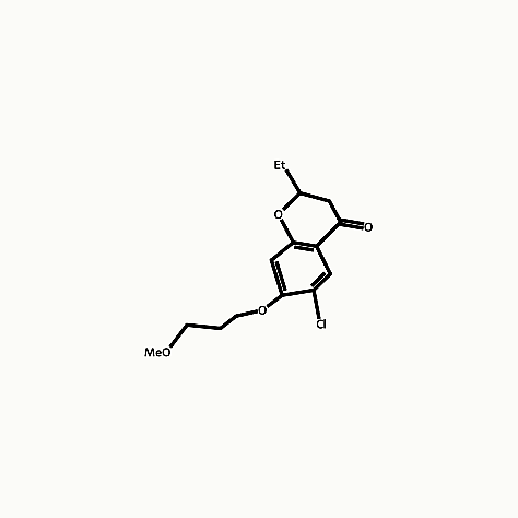 CCC1CC(=O)c2cc(Cl)c(OCCCOC)cc2O1